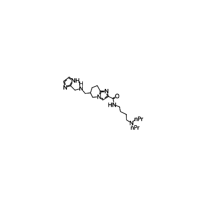 CCCN(CCC)CCCCNC(=O)c1cn2c(n1)CCC(CNCc1ncc[nH]1)C2